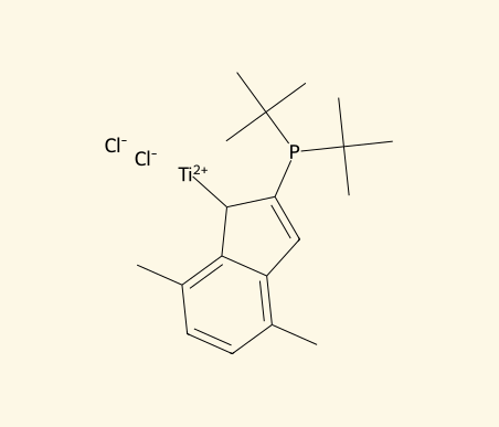 Cc1ccc(C)c2c1C=C(P(C(C)(C)C)C(C)(C)C)[CH]2[Ti+2].[Cl-].[Cl-]